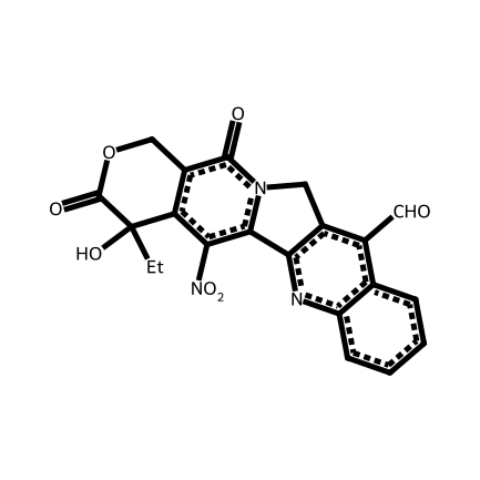 CCC1(O)C(=O)OCc2c1c([N+](=O)[O-])c1n(c2=O)Cc2c-1nc1ccccc1c2C=O